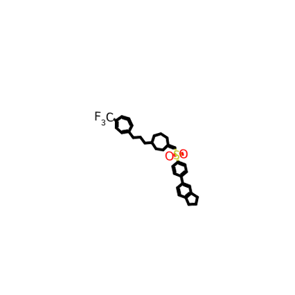 O=S(=O)(/C=C1/CCCC(CCCC2=CC=C(C(F)(F)F)C=C=C2)CC1)c1ccc(-c2ccc3c(c2)CCC3)cc1